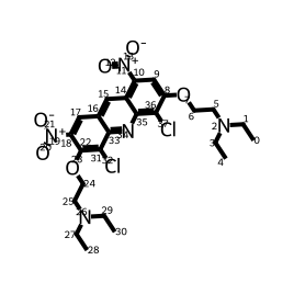 CCN(CC)CCOc1cc([N+](=O)[O-])c2cc3cc([N+](=O)[O-])c(OCCN(CC)CC)c(Cl)c3nc2c1Cl